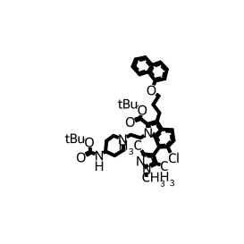 Cc1nn(C)c(C)c1-c1c(Cl)ccc2c(CCCOc3cccc4ccccc34)c(C(=O)OC(C)(C)C)n(CCN3CCC(NC(=O)OC(C)(C)C)CC3)c12